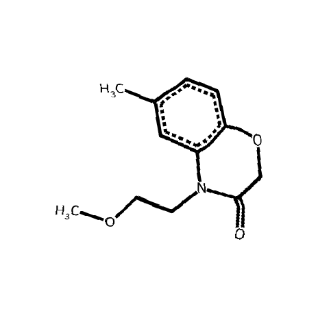 COCCN1C(=O)COc2ccc(C)cc21